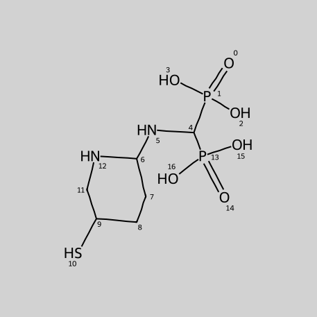 O=P(O)(O)C(NC1CCC(S)CN1)P(=O)(O)O